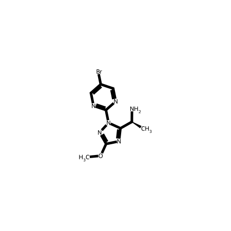 COc1nc([C@H](C)N)n(-c2ncc(Br)cn2)n1